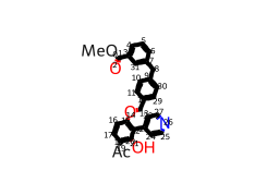 COC(=O)c1cccc(Cc2ccc(COc3ccc(C(C)=O)c(O)c3-c3ccncc3)cc2)c1